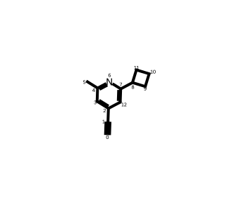 C#Cc1cc(C)nc(C2CCC2)c1